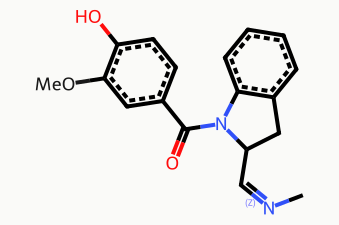 C/N=C\C1Cc2ccccc2N1C(=O)c1ccc(O)c(OC)c1